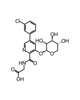 O=C(O)CNC(=O)c1ncc(-c2cccc(Cl)c2)cc1O[C@@H]1OC[C@@H](O)[C@H](O)C1O